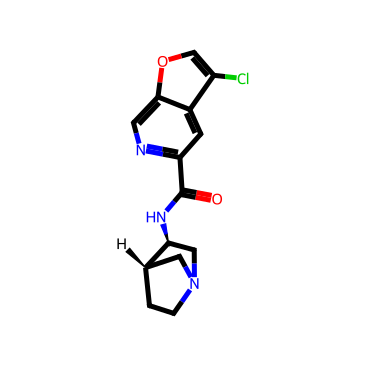 O=C(N[C@H]1CN2CC[C@H]1C2)c1cc2c(Cl)coc2cn1